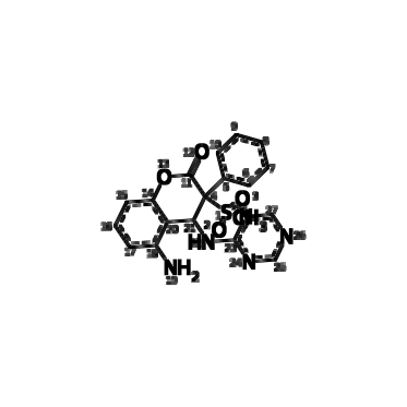 CS(=O)(=O)C1(c2ccccc2)C(=O)Oc2cccc(N)c2C1Nc1ncncn1